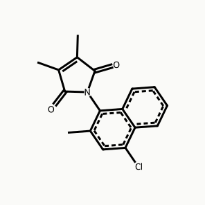 CC1=C(C)C(=O)N(c2c(C)cc(Cl)c3ccccc23)C1=O